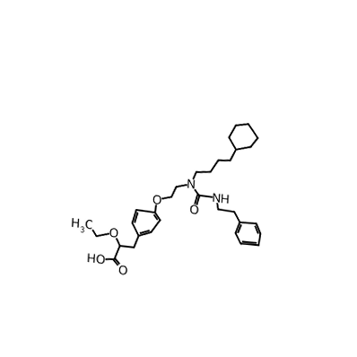 CCOC(Cc1ccc(OCCN(CCCCC2CCCCC2)C(=O)NCCc2ccccc2)cc1)C(=O)O